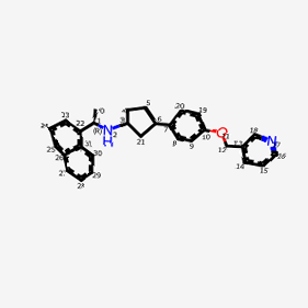 C[C@@H](NC1CCC(c2ccc(OCc3cccnc3)cc2)C1)c1cccc2ccccc12